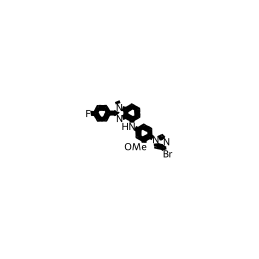 COc1cc(Nc2cccc3c2nc(-c2ccc(F)cc2)n3C)ccc1-n1cnc(Br)c1